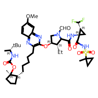 CC[C@H]1C(C(=O)N[C@]2(C(=O)NS(=O)(=O)C3(C)CC3)C[C@H]2C(F)F)N(C=O)C[C@@H]1Oc1nc2cc(OC)ccc2nc1CCCCC[C@@H]1CCC[C@@]1(C)OC(=O)N[C@H](C)C(C)(C)C